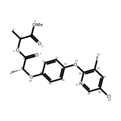 COC(=O)C(C)OC(=O)[C@@H](C)Oc1ccc(Oc2ncc(Cl)cc2F)cc1